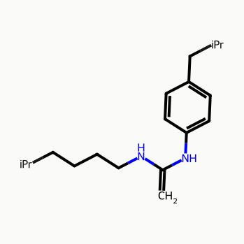 C=C(NCCCCC(C)C)Nc1ccc(CC(C)C)cc1